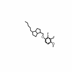 CCCCCC1CCC2C(COc3ccc(OC)c(F)c3F)CCC12